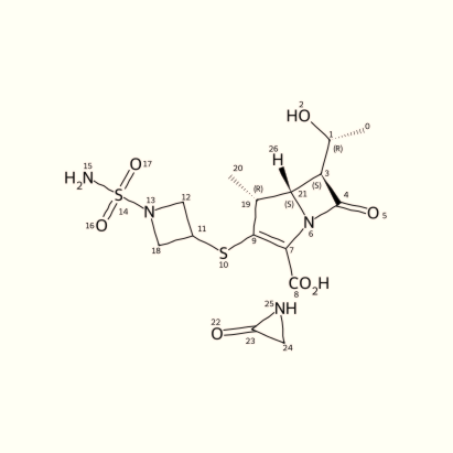 C[C@@H](O)[C@H]1C(=O)N2C(C(=O)O)=C(SC3CN(S(N)(=O)=O)C3)[C@H](C)[C@H]12.O=C1CN1